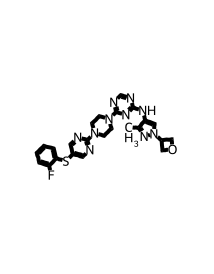 Cc1nn(C2COC2)cc1Nc1ncnc(N2CCN(c3ncc(Sc4ccccc4F)cn3)CC2)n1